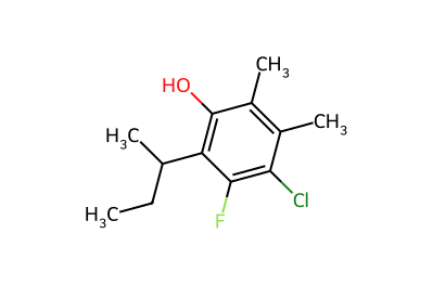 CCC(C)c1c(O)c(C)c(C)c(Cl)c1F